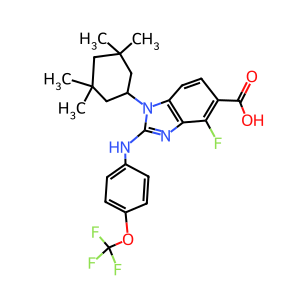 CC1(C)CC(n2c(Nc3ccc(OC(F)(F)F)cc3)nc3c(F)c(C(=O)O)ccc32)CC(C)(C)C1